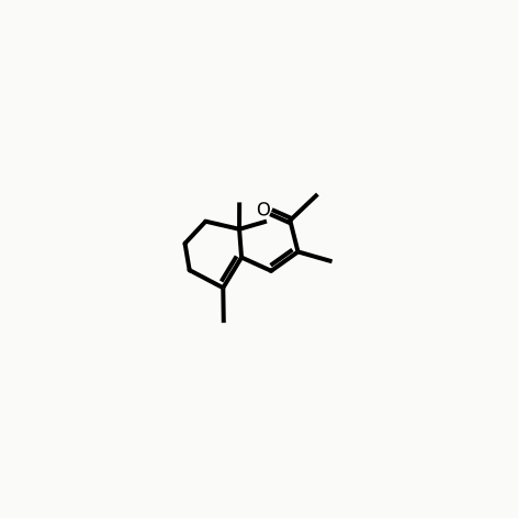 CC(=O)/C(C)=C\C1=C(C)CCCC1(C)C